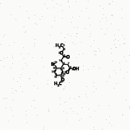 CCOC(=O)C[C@@H](CC(=O)O)c1cc(OC)ccc1Br